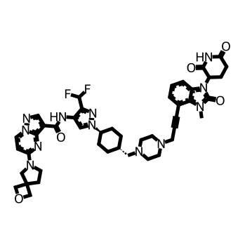 Cn1c(=O)n(C2CCC(=O)NC2=O)c2cccc(C#CCN3CCN(C[C@H]4CC[C@H](n5cc(NC(=O)c6cnn7ccc(N8CCC9(COC9)C8)nc67)c(C(F)F)n5)CC4)CC3)c21